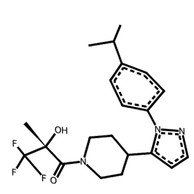 CC(C)c1ccc(-n2nccc2C2CCN(C(=O)[C@@](C)(O)C(F)(F)F)CC2)cc1